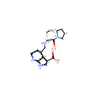 CC[C@@H](NCc1ccnc2[nH]cc(C(=O)O)c12)C(=O)N1CCCC1